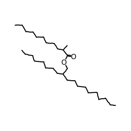 CCCCCCCCCCC(CCCCCCCC)COC(=O)C(C)CCCCCCCCC